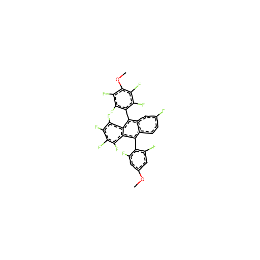 COc1cc(F)c(-c2c3ccc(F)cc3c(-c3c(F)c(F)c(OC)c(F)c3F)c3c(F)c(F)c(F)c(F)c23)c(F)c1